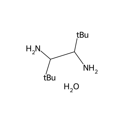 CC(C)(C)C(N)C(N)C(C)(C)C.O